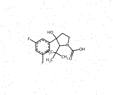 CC(C)(C)C1N(C(=O)O)CCC1(O)c1cc(F)cc(F)c1